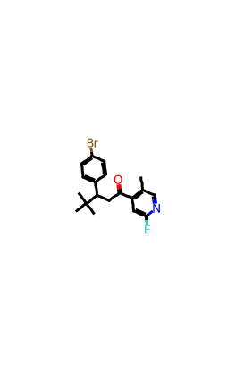 Cc1cnc(F)cc1C(=O)CC(c1ccc(Br)cc1)C(C)(C)C